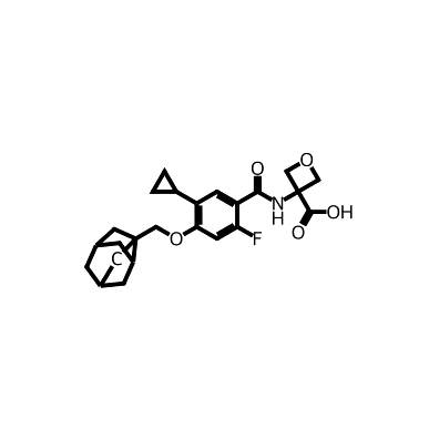 O=C(NC1(C(=O)O)COC1)c1cc(C2CC2)c(OCC23CC4CC(CC2C4)C3)cc1F